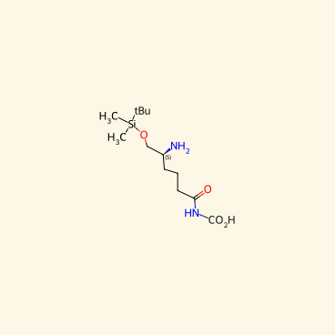 CC(C)(C)[Si](C)(C)OC[C@@H](N)CCCC(=O)NC(=O)O